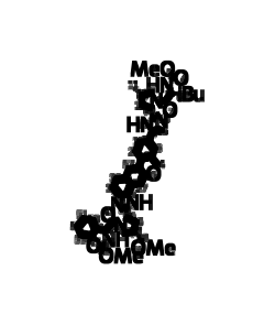 CC[C@H](C)C(NC(=O)OC)C(=O)N1C[C@@H](C)C[C@H]1c1ncc(-c2ccc3c(c2)COc2cc4c(ccc5nc([C@@H]6C[C@H](COC)CN6C(=O)C(NC(=O)OC)c6ccccc6)[nH]c54)cc2-3)[nH]1